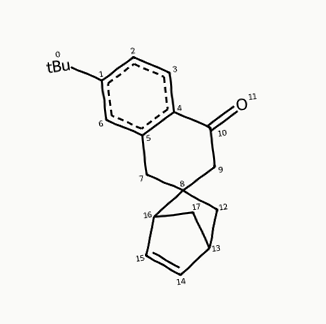 CC(C)(C)c1ccc2c(c1)CC1(CC2=O)CC2C=CC1C2